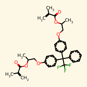 C=C(C)C(=O)OC(C)COc1ccc(C(c2ccccc2)(c2ccc(OCC(C)OC(=O)C(=C)C)cc2)C(F)(F)F)cc1